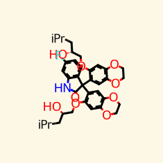 CC(C)C[C@@H](O)COc1cc2c(cc1C1(c3cc4c(cc3OC[C@H](O)CC(C)C)OCCO4)C(=O)Nc3cc(F)ccc31)OCCO2